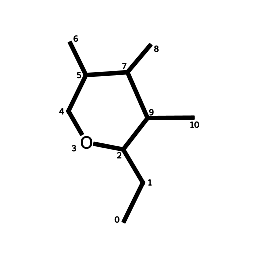 CCC1OCC(C)C(C)C1C